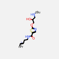 CCC/C=C/CCNC(=O)c1cnc(OCC(O)CNC(C)(C)C)s1